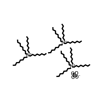 CCCCCCCC[N+](CCCCCCCC)(CCCCCCCC)CCCCCCCC.CCCCCCCC[N+](CCCCCCCC)(CCCCCCCC)CCCCCCCC.CCCCCCCC[N+](CCCCCCCC)(CCCCCCCC)CCCCCCCC.O=P([O-])([O-])[O-]